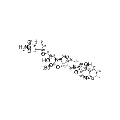 CC(C)(C)OC(=O)N(C[C@H](O)COc1cccc(S(N)(=O)=O)c1)[C@H]1COC2(CCN(S(=O)(=O)c3cnc4ccccc4c3O)CC2)C1